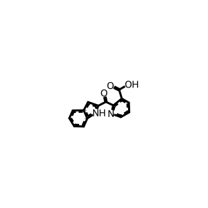 O=C(O)c1cccnc1C(=O)c1cc2ccccc2[nH]1